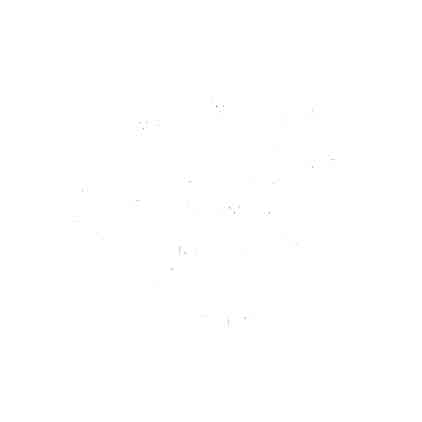 C=CCOC(=O)CC(NC(=O)c1cc(OC)c(OC)cc1OCC(Cc1ccccc1)NC(=O)OC(C)(C)C)C(=O)OCc1ccccc1.Cl